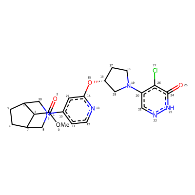 COC(=O)C1C2CCC1CN(c1ccnc(O[C@@H]3CCN(c4cn[nH]c(=O)c4Cl)C3)c1)C2